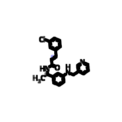 C[C@H](NC(=O)/C=C/c1cccc(Cl)c1)c1cccc(NCc2cccnc2)c1